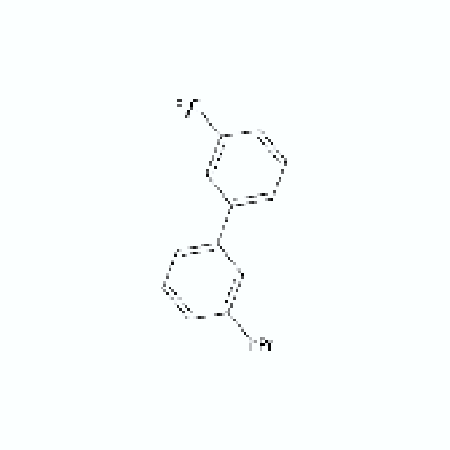 CCCc1cccc(-c2cccc(C(F)(F)F)c2)c1